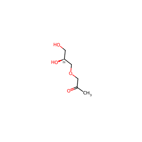 CC(=O)COC[C@@H](O)CO